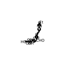 CCOc1cnc(N2CCC(CCCOc3cc(F)c(C(C=O)N4CCN(C[C@H](O)[C@@H](O)[C@H](O)[C@H](O)CO)CC4)c(F)c3)CC2)nc1